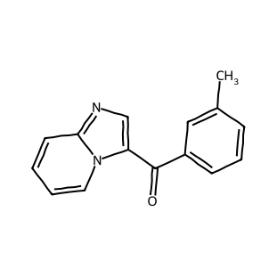 Cc1cccc(C(=O)c2cnc3ccccn23)c1